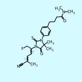 C/C(C#N)=C\C=C(/CF)N1C(=O)C(C)(C)N(c2ccc(CCCC(=O)N(C)C)cc2)C1=S